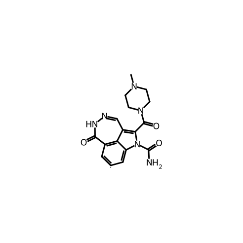 CN1CCN(C(=O)c2c3c4c(c[c]cc4n2C(N)=O)C(=O)NN=C3)CC1